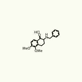 COc1ccc2c(c1OC)CCC(NCc1ccccc1)C2=O.Cl